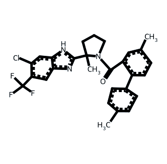 Cc1ccc(-c2ccc(C)cc2C(=O)N2CCCC2(C)c2nc3cc(C(F)(F)F)c(Cl)cc3[nH]2)cc1